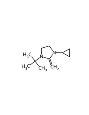 C=C1N(C2CC2)CCN1C(C)(C)C